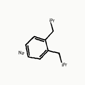 CC(C)Cc1ccccc1CC(C)C.[Na]